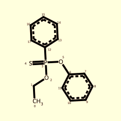 CCOP(=S)(Oc1ccccc1)c1ccccc1